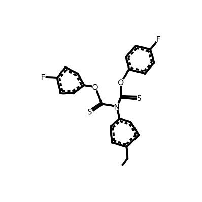 CCc1ccc(N(C(=S)Oc2ccc(F)cc2)C(=S)Oc2ccc(F)cc2)cc1